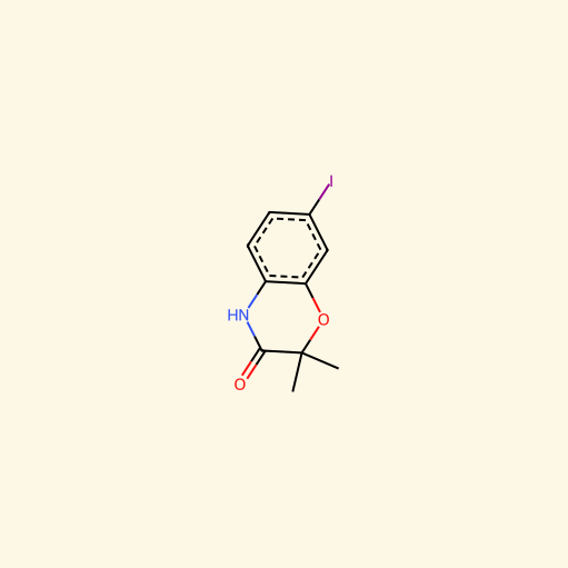 CC1(C)Oc2cc(I)ccc2NC1=O